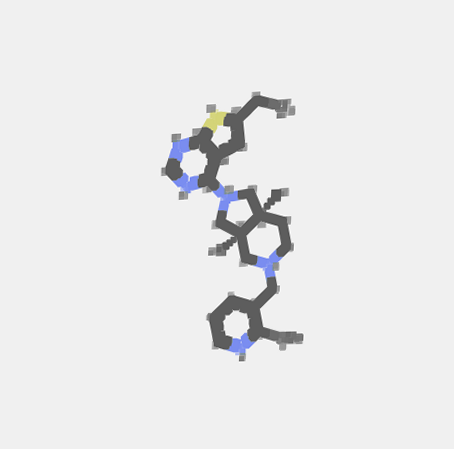 COc1ncccc1CN1CC[C@@H]2CN(c3ncnc4sc(CC(F)(F)F)cc34)C[C@@H]2C1